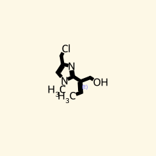 C/C=C(/CO)c1nc(CCl)cn1C